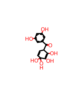 O=C(c1cc(O)cc(O)c1)C1C=CC(O)(O)C(O)=C1O